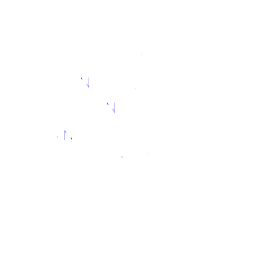 c1ccc(-c2ncnn2-c2ccccc2)cc1